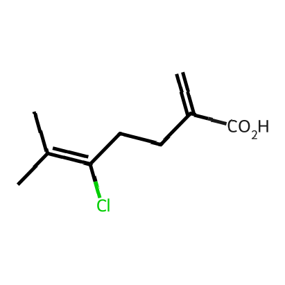 C=C(CCC(Cl)=C(C)C)C(=O)O